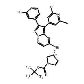 Cc1cc(-c2c(-c3cccc(C#N)c3)nn3ccc(N[C@@H]4CCN(C(=O)OC(C(F)(F)F)(C(F)(F)F)C(F)(F)F)C4)nc23)cc(Cl)n1